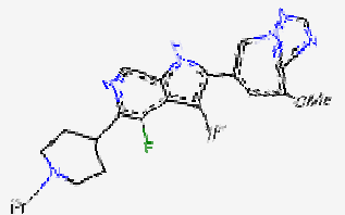 COc1cc(-c2[nH]c3cnc(C4CCN(C(C)C)CC4)c(F)c3c2C(C)C)cn2ncnc12